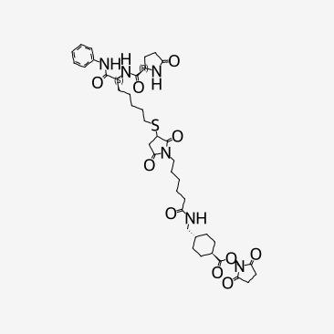 O=C(CCCCCN1C(=O)CC(SCCCCC[C@H](NC(=O)[C@H]2CCC(=O)N2)C(=O)Nc2ccccc2)C1=O)NC[C@H]1CC[C@H](C(=O)ON2C(=O)CCC2=O)CC1